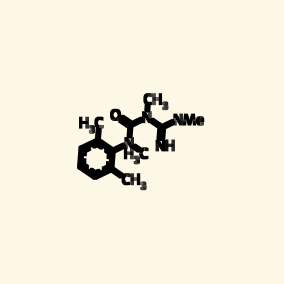 CNC(=N)N(C)C(=O)N(C)c1c(C)cccc1C